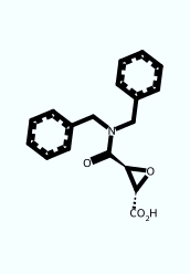 O=C(O)[C@H]1O[C@@H]1C(=O)N(Cc1ccccc1)Cc1ccccc1